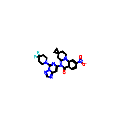 O=C(Nc1cc2ncnn2c(N2CCC(F)(F)CC2)n1)c1ccc([N+](=O)[O-])cc1N1CCC2(CC1)CC2